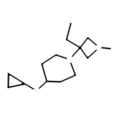 CCC1(N2CCC(NC3CC3)CC2)CN(C)C1